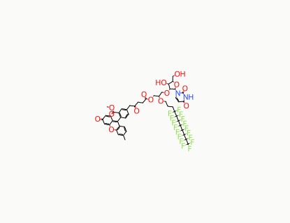 COC(=O)c1cc(CC(=O)CCC(=O)OCC(COC2C(O)C(CO)OC2n2ccc(=O)[nH]c2=O)OCCCC(F)(F)C(F)(F)C(F)(F)C(F)(F)C(F)(F)C(F)(F)C(F)(F)C(F)(F)F)ccc1-c1c2ccc(=O)cc-2oc2cc(C)ccc12